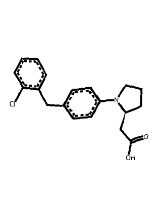 O=C(O)C[C@@H]1CCCN1c1ccc(Cc2ccccc2Cl)cc1